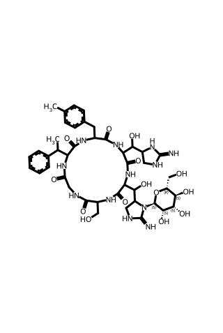 Cc1ccc(CC2NC(=O)C(C(C)c3ccccc3)NC(=O)CNC(=O)C(CO)NC(=O)C(C(O)C3CNC(=N)N3[C@H]3O[C@H](CO)[C@@H](O)[C@H](O)[C@@H]3O)NC(=O)C(C(O)C3CNC(=N)N3)NC2=O)cc1